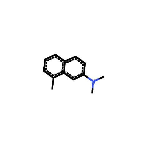 Cc1cccc2ccc(N(C)C)cc12